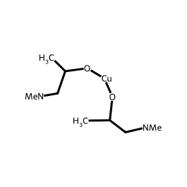 CNCC(C)[O][Cu][O]C(C)CNC